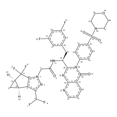 O=C(Cn1nc(C(F)F)c2c1C(F)(F)[C@@H]1C[C@H]21)N[C@@H](Cc1cc(F)cc(F)c1)c1nc2ncccc2c(=O)n1-c1ccc(S(=O)(=O)N2CCOCC2)cc1